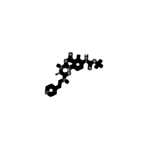 Cc1c(NC(=O)OC(C)(C)C)ccc2nc(N(C)[C@@H](C)C(=O)N(C)CCc3ccncc3)oc(=O)c12